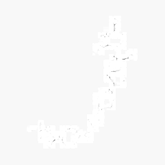 CC(C)(C)OC(=O)N1CCC(OC2CC(N3CCN(c4ccc5c(n4)CN(C4CCC(=O)NC4=O)C5=O)CC3)C2)CC1